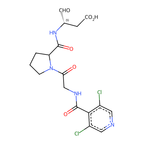 O=C[C@H](CC(=O)O)NC(=O)C1CCCN1C(=O)CNC(=O)c1c(Cl)cncc1Cl